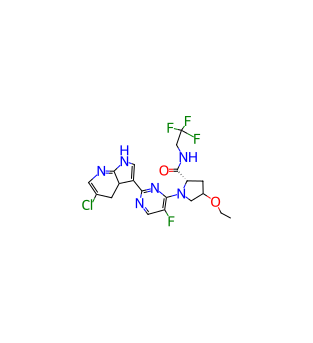 CCOC1C[C@@H](C(=O)NCC(F)(F)F)N(c2nc(C3=CNC4=NC=C(Cl)CC34)ncc2F)C1